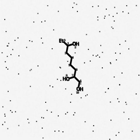 CCC(O)CCCCC(O)CO